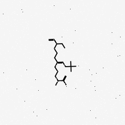 C=CC(CC)CCCC(=CCC(C)(C)C)CCCC(C)C(=C)C